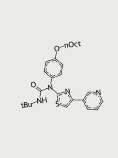 CCCCCCCCOc1ccc(N(C(=O)NC(C)(C)C)c2nc(-c3cccnc3)cs2)cc1